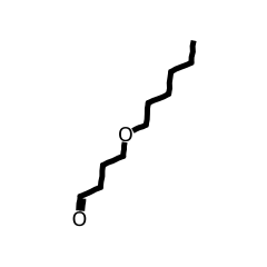 CCCCCCOCCCC=O